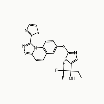 CCC(O)(c1cnc(Sc2ccc3c(ccc4nnc(-c5nccs5)n43)c2)s1)C(F)(F)F